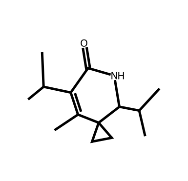 CC1=C(C(C)C)C(=O)NC(C(C)C)C12CC2